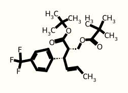 C/C=C/[C@H](c1ccc(C(F)(F)F)cc1)[C@@H](COC(=O)C(C)(C)C)C(=O)OC(C)(C)C